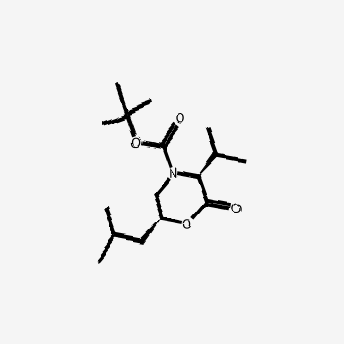 CC(C)C[C@H]1CN(C(=O)OC(C)(C)C)[C@@H](C(C)C)C(=O)O1